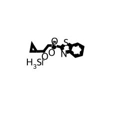 O=S(=O)(CC(O[SiH3])C1CC1)c1nc2ccccc2s1